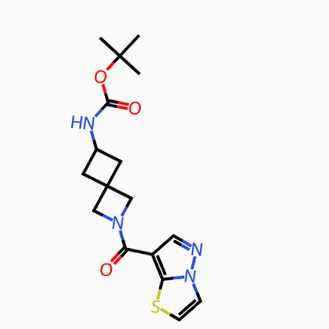 CC(C)(C)OC(=O)NC1CC2(C1)CN(C(=O)c1cnn3ccsc13)C2